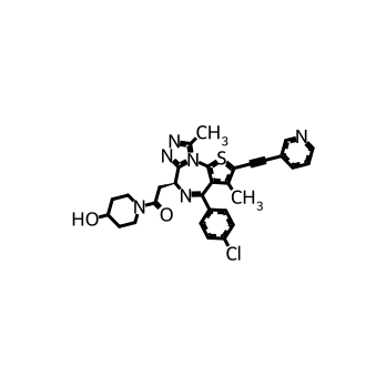 Cc1c(C#Cc2cccnc2)sc2c1C(c1ccc(Cl)cc1)=N[C@@H](CC(=O)N1CCC(O)CC1)c1nnc(C)n1-2